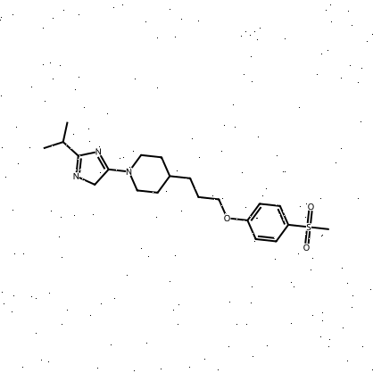 CC(C)C1=NCC(N2CCC(CCCOc3ccc(S(C)(=O)=O)cc3)CC2)=N1